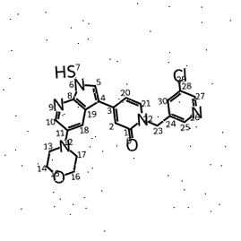 O=c1cc(-c2cn(S)c3ncc(N4CCOCC4)cc23)ccn1Cc1cncc(Cl)c1